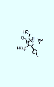 CC1CC(C2=C(C(=O)O)N3C(=O)[C@H]([C@@H](C)O)[C@H]3S2)C1.CN(C)C